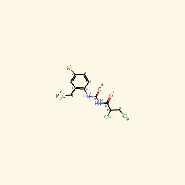 CCc1cc(Br)ccc1NC(=O)NC(=O)C(Cl)CCl